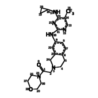 O=C(CN1CCc2ccc(Nc3ncc(C(F)(F)F)c(NC4CC4)n3)cc2C1)N1CCOCC1